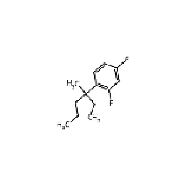 CCCC(C)(CC)c1ccc(F)cc1F